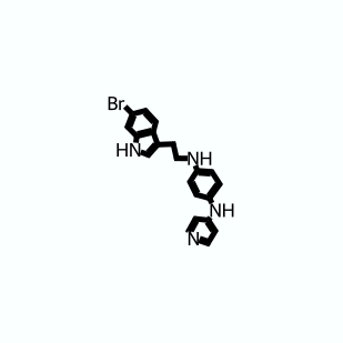 Brc1ccc2c(CCNc3ccc(Nc4ccncc4)cc3)c[nH]c2c1